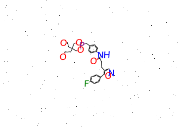 O=CCC1(CC=O)COP(Cc2ccc(NC(=O)CCc3cnoc3-c3ccc(F)cc3)cc2)OC1